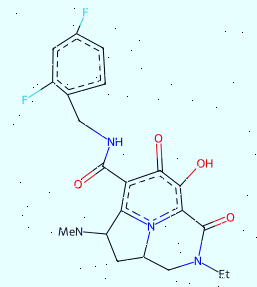 CCN1CC2CC(NC)c3c(C(=O)NCc4ccc(F)cc4F)c(=O)c(O)c(n32)C1=O